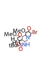 COCOC1c2c(OC)c(=O)c(Br)cn2CC(NC(=O)OC(C)(C)C)C1(C)C